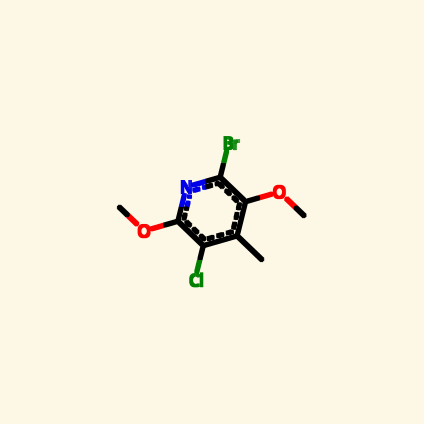 COc1nc(Br)c(OC)c(C)c1Cl